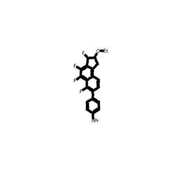 CCCc1ccc(-c2ccc3c4c(c(F)c(F)c3c2F)C(F)C(OCC)C4)cc1